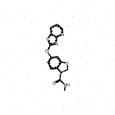 CNC(=O)C1COc2cc(Oc3nc4ncccc4s3)ccc21